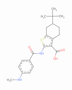 CNc1ccc(C(=O)Nc2sc3c(c2C(=O)O)CCC(C(C)(C)C)C3)cc1